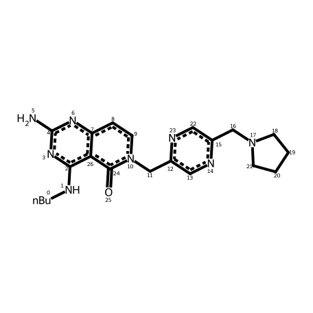 CCCCNc1nc(N)nc2ccn(Cc3cnc(CN4CCCC4)cn3)c(=O)c12